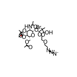 CC(=O)N[C@H]1[C@H](OC(OCCOCCN=[N+]=[N-])C(C)(Br)C(=O)O)O[C@H](COC(C)=O)[C@@H](OC(C)=O)[C@@H]1OC(C)=O